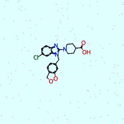 O=C(O)C1CCN(c2nc3ccc(Cl)cc3n2Cc2ccc3c(c2)OOC3)CC1